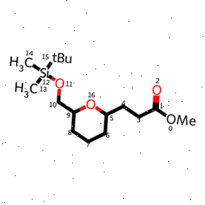 COC(=O)CCC1CCCC(CO[Si](C)(C)C(C)(C)C)O1